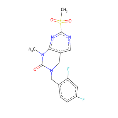 CN1C(=O)N(Cc2ccc(F)cc2F)Cc2cnc(S(C)(=O)=O)nc21